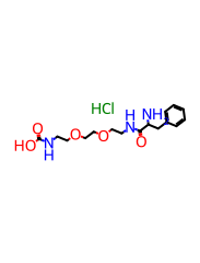 Cl.NC(Cc1ccccc1)C(=O)NCCOCCOCCNC(=O)O